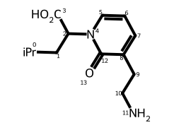 CC(C)CC(C(=O)O)n1cccc(CCN)c1=O